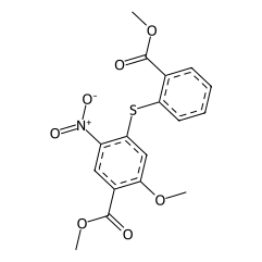 COC(=O)c1cc([N+](=O)[O-])c(Sc2ccccc2C(=O)OC)cc1OC